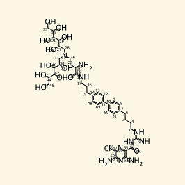 N=C(NCCCCc1ccc(-c2ccc(CCCNC(=O)C(N)CCN(CC(O)C(O)C(O)C(O)CO)CC(O)C(O)C(O)C(O)CO)cc2)cc1)NC(=O)c1nc(Cl)c(N)nc1N